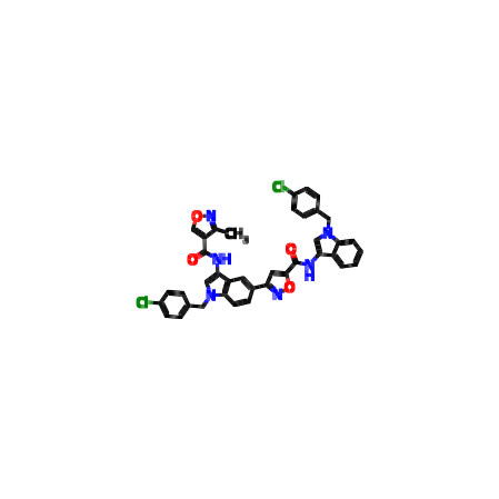 Cc1nocc1C(=O)Nc1cn(Cc2ccc(Cl)cc2)c2ccc(-c3cc(C(=O)Nc4cn(Cc5ccc(Cl)cc5)c5ccccc45)on3)cc12